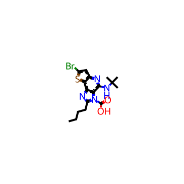 CCCCc1nc2c3sc(Br)cc3nc(NC(C)(C)C)c2n1C(=O)O